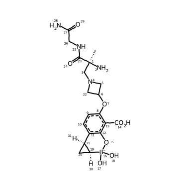 C[C@](N)(CN1CC(Oc2ccc3c(c2C(=O)O)O[B-](O)(O)[C@H]2C[C@@H]32)C1)C(=O)NCC(N)=O